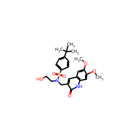 COc1cc2cc(CN(CCO)S(=O)(=O)c3ccc(C(C)(C)C)cc3)c(=O)[nH]c2cc1OC